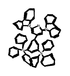 c1ccc([Si](c2ccccc2)(c2ccccc2)c2cc(-c3cc(-n4c5ccccc5c5ccccc54)nc(-n4c5ccccc5c5ccccc54)c3)cc([Si](c3ccccc3)(c3ccccc3)c3ccccc3)c2)cc1